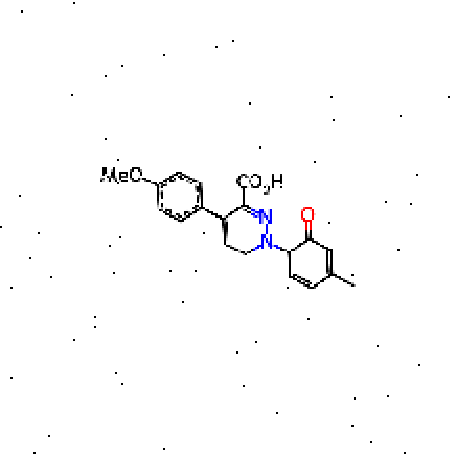 COc1ccc(C2=CCN(C3C=CC(C)=CC3=O)N=C2C(=O)O)cc1